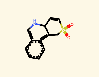 O=S1(=O)C=CC2NC=c3ccccc3=C2C1